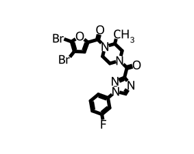 CC1CN(C(=O)c2ncn(-c3cccc(F)c3)n2)CCN1C(=O)c1cc(Br)c(Br)o1